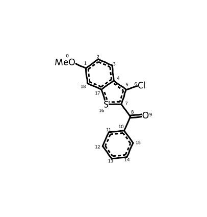 COc1ccc2c(Cl)c(C(=O)c3ccccc3)sc2c1